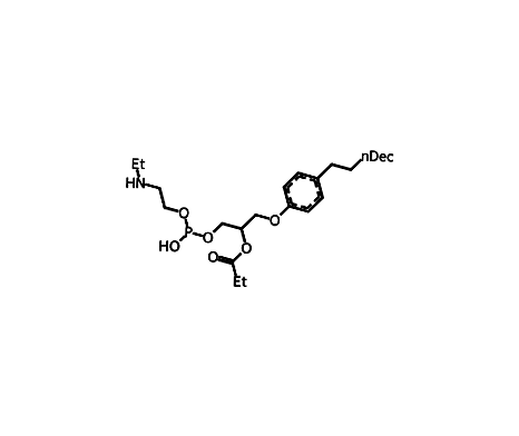 CCCCCCCCCCCCc1ccc(OCC(COP(O)OCCNCC)OC(=O)CC)cc1